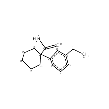 CCc1cccc(C2(C(N)=O)CCCCC2)c1